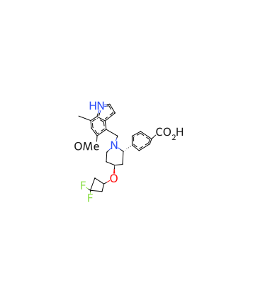 COc1cc(C)c2[nH]ccc2c1CN1CC[C@H](OC2CC(F)(F)C2)C[C@H]1c1ccc(C(=O)O)cc1